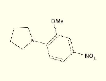 COc1cc([N+](=O)[O-])ccc1N1CCCC1